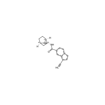 C#Cc1ccn2ccc(C(=O)N[C@@H]3C[C@H]4CC[C@@H]3N4)cc12